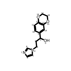 OC(CCn1ccnc1)c1ccc2c(c1)OCCO2